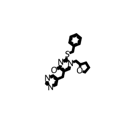 O=c1nc(SCc2ccccc2)n(CC2CCCO2)cc1Cc1cncnc1